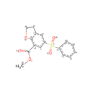 COC(=O)c1cc(S(=O)(=O)c2ccccc2)cc2c1OCC2